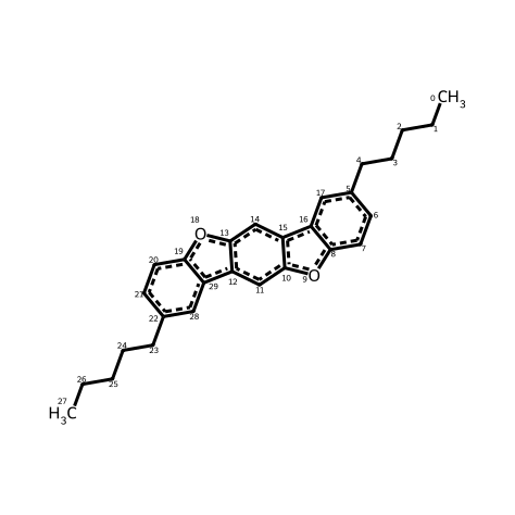 CCCCCc1ccc2oc3cc4c(cc3c2c1)oc1ccc(CCCCC)cc14